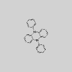 [c]1ccc2c(c1)N(c1ccccc1)c1ccccc1N2c1ccccc1